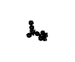 c1ccc(-c2ccc(-c3nc(-c4ccccc4)nc(-c4ccc(N5c6ccccc6C6(c7ccccc75)c5ccsc5-c5sccc56)cc4)n3)cc2)cc1